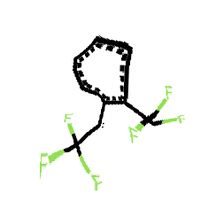 FC(F)(F)[C]c1ccccc1C(F)(F)F